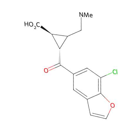 CNCC1[C@H](C(=O)O)[C@H]1C(=O)c1cc(Cl)c2occc2c1